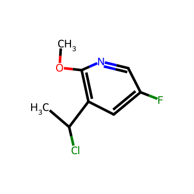 COc1ncc(F)cc1C(C)Cl